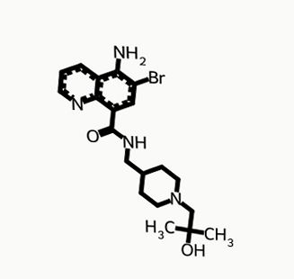 CC(C)(O)CN1CCC(CNC(=O)c2cc(Br)c(N)c3cccnc23)CC1